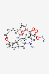 CCOC(=O)C1(C(=O)c2ccco2)CC2C3Cc4ccc5cc4[C@@]2(CCCCCO5)CC1N3C